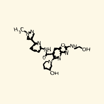 Cn1cc(-c2cccc(NC(=O)c3cc4oc(NCCO)nc4nc3N3CCCC(O)C3)n2)cn1